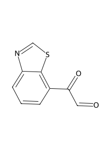 O=CC(=O)c1cccc2ncsc12